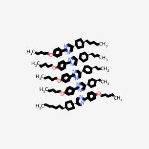 CCCCCCC[C@H]1CC[C@H](c2cnc(-c3ccc(OCCCCC)cc3)nc2)CC1.CCCCCOc1ccc(-c2ncc([C@H]3CC[C@H](CC)CC3)cn2)cc1.CCCCCOc1ccc(-c2ncc([C@H]3CC[C@H](CCC)CC3)cn2)cc1.CCCCCOc1ccc(-c2ncc([C@H]3CC[C@H](CCCC)CC3)cn2)cc1.CCCCCOc1ccc(-c2ncc([C@H]3CC[C@H](CCCCC)CC3)cn2)cc1